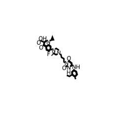 CCc1cc(Nc2cc(=O)n(CCCCN3CCN(c4cc5c(cc4F)c(=O)c(C(=O)O)cn5C4CC4)[C@H](C)C3)c(=O)[nH]2)ccc1C